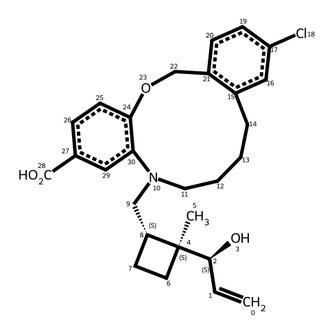 C=C[C@H](O)[C@@]1(C)CC[C@@H]1CN1CCCCc2cc(Cl)ccc2COc2ccc(C(=O)O)cc21